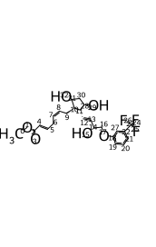 COC(=O)/C=C/C/C=C\C[C@@H]1[C@@H](/C=C/[C@@H](O)COc2cccc(C(F)(F)F)c2)[C@H](O)C[C@@H]1O